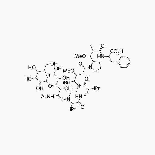 CCC(C)C(C(CC(=O)N1CCCC1C(OC)C(C)C(=O)NC(Cc1ccccc1)C(=O)O)OC)N(C)C(=O)C(CNC(=O)C(C(C)C)N(C)CC(NC(C)=O)C(O)C(OC1OC(CO)C(O)C(O)C1O)C(O)CO)C(C)C